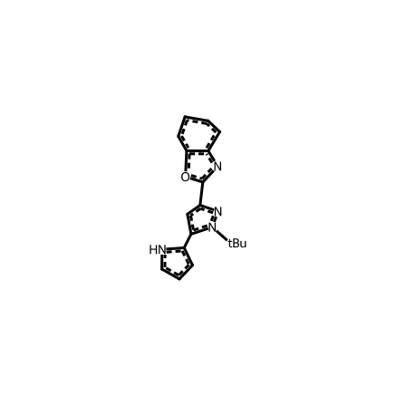 CC(C)(C)n1nc(-c2nc3ccccc3o2)cc1-c1ccc[nH]1